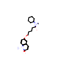 CCN(C(=O)CCCCOc1ccc2[nH]c(=O)ccc2c1)C1CCCCC1